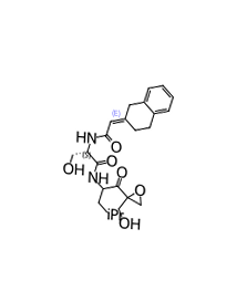 CC(C)CC(NC(=O)[C@H](CO)NC(=O)/C=C1\CCc2ccccc2C1)C(=O)C1(CO)CO1